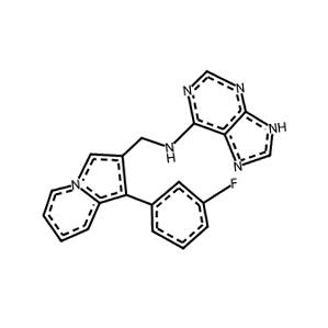 Fc1cccc(-c2c(CNc3ncnc4[nH]cnc34)cn3ccccc23)c1